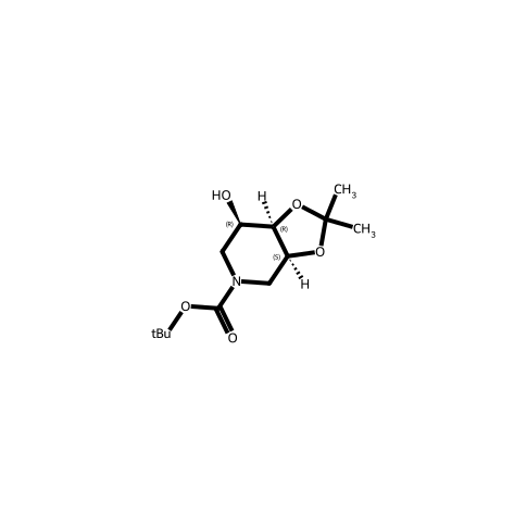 CC(C)(C)OC(=O)N1C[C@@H](O)[C@H]2OC(C)(C)O[C@H]2C1